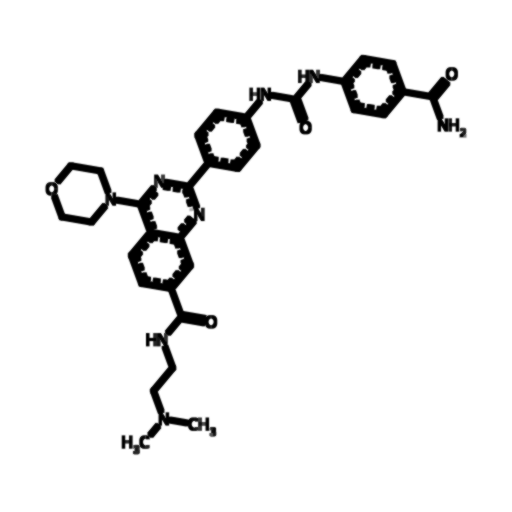 CN(C)CCNC(=O)c1ccc2c(N3CCOCC3)nc(-c3ccc(NC(=O)Nc4ccc(C(N)=O)cc4)cc3)nc2c1